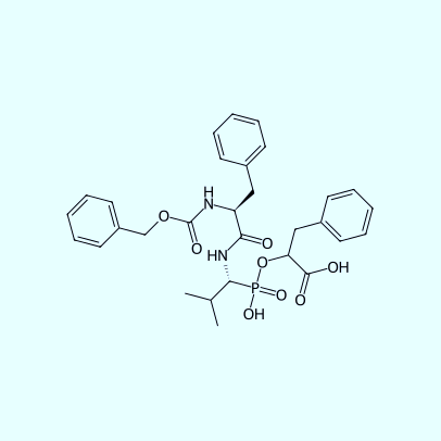 CC(C)[C@H](NC(=O)[C@H](Cc1ccccc1)NC(=O)OCc1ccccc1)P(=O)(O)OC(Cc1ccccc1)C(=O)O